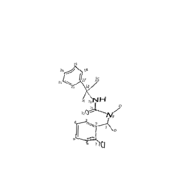 CC(c1ccccc1Cl)N(C)C(=O)NC(C)(C)c1ccccc1